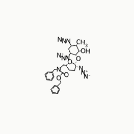 C[C@@H]1[C@@H](O)[C@H](O[C@H]2O[C@H](CN(Cc3ccccc3)C(=O)OCc3ccccc3)CC[C@H]2N=[N+]=[N-])[C@@H](N=[N+]=[N-])C[C@H]1N=[N+]=[N-]